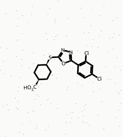 O=C(O)[C@H]1CC[C@@H](Sc2nnc(-c3ccc(Cl)cc3Cl)o2)CC1